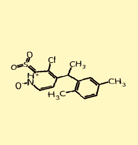 Cc1ccc(C)c(C(C)C2=C(Cl)C(=S(=O)=O)[NH+]([O-])C=C2)c1